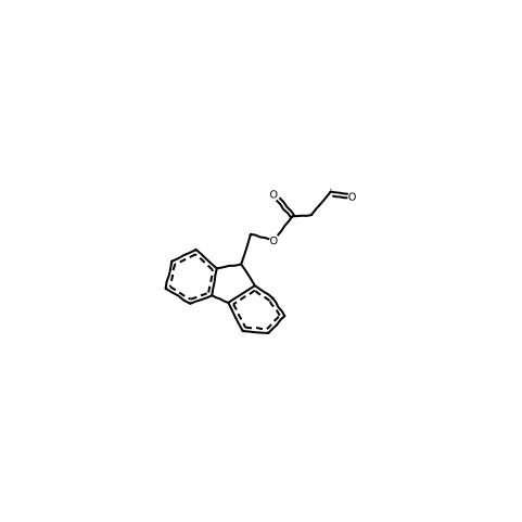 O=[C]CC(=O)OCC1c2ccccc2-c2ccccc21